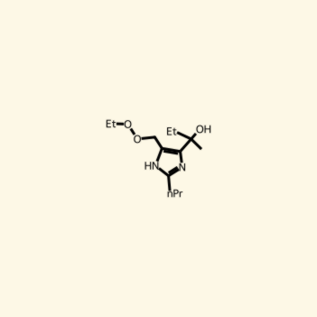 CCCc1nc(C(C)(O)CC)c(COOCC)[nH]1